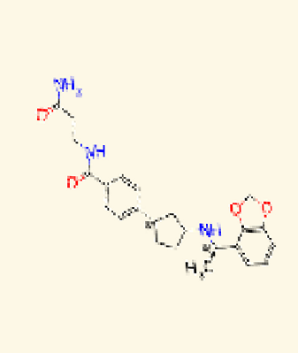 C[C@@H](NC1CC[C@H](c2ccc(C(=O)NCCC(N)=O)cc2)C1)c1cccc2c1OCO2